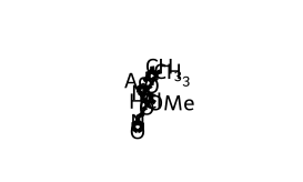 COc1cc2c(Oc3cc(C)c(C)cc3C(C)=O)ccnc2cc1OCCCN1CCOCC1.Cl